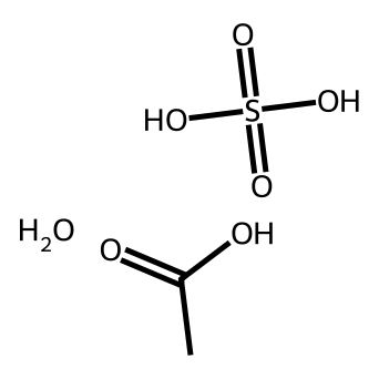 CC(=O)O.O.O=S(=O)(O)O